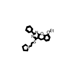 CCOc1cccc2c1Oc1nc(-c3ccccc3)nc(SCCN3CCCC3)c1C2